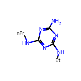 CCCNc1nc(N)nc(NCC)n1